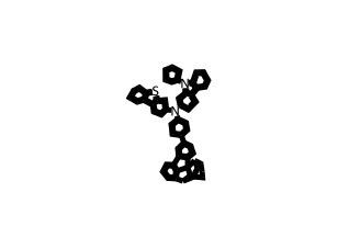 c1ccc(-n2c3ccccc3c3ccc(N(c4ccc(-c5ccc6c(c5)-c5cccc7c5C65C6CC8CC(C6)C7C5C8)cc4)c4ccc5c(c4)sc4ccccc45)cc32)cc1